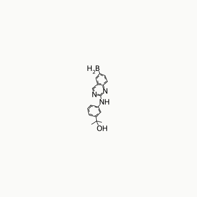 Bc1ccc2nc(Nc3cccc(C(C)(C)O)c3)ncc2c1